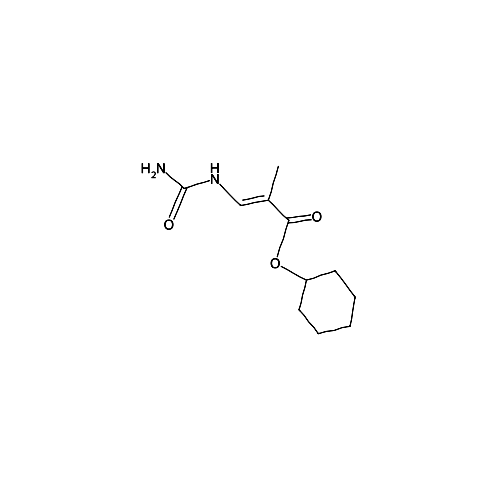 CC(=CNC(N)=O)C(=O)OC1CCCCC1